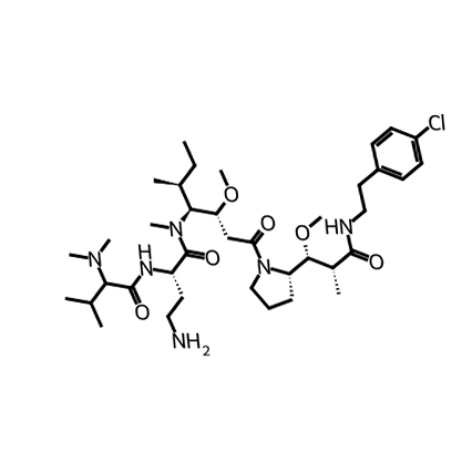 CC[C@H](C)[C@@H]([C@@H](CC(=O)N1CCC[C@H]1[C@H](OC)[C@@H](C)C(=O)NCCc1ccc(Cl)cc1)OC)N(C)C(=O)[C@H](CCN)NC(=O)C(C(C)C)N(C)C